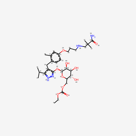 CCOC(=O)OCC1O[C@@H](Oc2n[nH]c(C(C)C)c2Cc2ccc(OCCCNCC(C)(C)C(N)=O)cc2C)[C@@H](O)C(O)[C@@H]1O